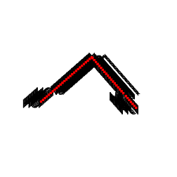 Cl.Cl.Cl.Cl.Cl.Cl.Cl.Cl.Cl.Cl.Cl.Cl.Cl.Cl.Cl.Cl.Cl.Cl.Cl.Cl.Cl.Cl.Cl.Cl.Cl.Cl.Cl.Cl.Cl.Cl.[Na+].[Na+].[Na+].[Na+].[Na+].[Na+].[Na+].[Na+].[Na+].[Na+].[Na+].[Na+].[Na+].[Na+].[Na+].[Na+].[Na+].[Na+].[Na+].[Na+].[Na+].[Na+].[Na+].[Na+].[Na+].[Na+].[Na+].[Na+].[Na+].[Na+].[Na+].[Na+].[Na+].[Na+].[Na+].[Na+].[Na+].[Na+].[Na+].[Na+].[Na+].[Na+].[Na+].[Na+].[Na+].[Na+].[Na+].[Na+].[Na+].[Na+].[Na+].[Na+].[Na+].[Na+].[Na+].[Na+].[Na+].[Na+].[Na+].[Na+].[Na+].[Na+].[Na+].[Na+].[Na+].[Na+].[Na+].[Na+].[Na+].[Na+].[Na+].[Na+].[Na+].[Na+].[Na+].[Na+].[Na+].[Na+].[Na+]